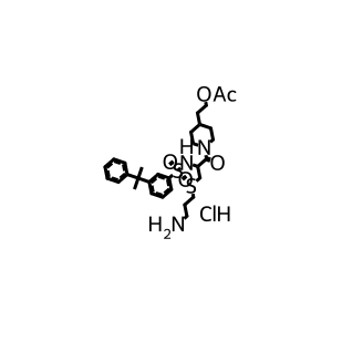 CC(=O)OCCC1CCN(C(=O)C(CSCCCN)NS(=O)(=O)c2cccc(C(C)(C)c3ccccc3)c2)CC1.Cl